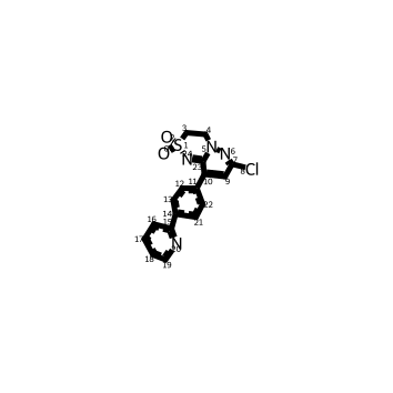 O=S1(=O)CCN2N=C(Cl)C=C(c3ccc(-c4ccccn4)cc3)C2=N1